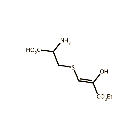 CCOC(=O)/C(O)=C/SCC(N)C(=O)O